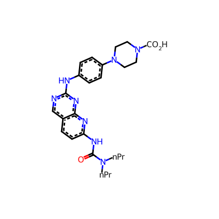 CCCN(CCC)C(=O)Nc1ccc2cnc(Nc3ccc(N4CCN(C(=O)O)CC4)cc3)nc2n1